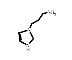 NCCCN1C=CNC1